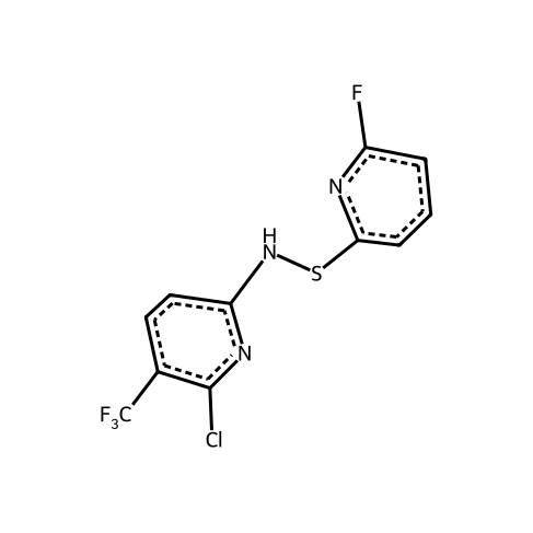 Fc1cccc(SNc2ccc(C(F)(F)F)c(Cl)n2)n1